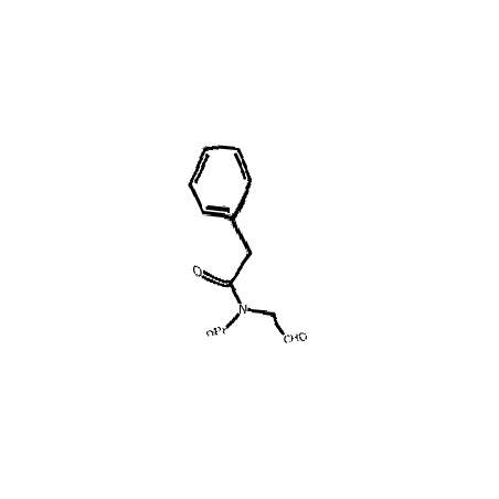 CCCN(CC=O)C(=O)Cc1ccccc1